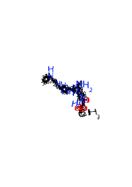 CCOC(=O)CNC(=O)N1CCN(c2cc(N)nc(NCc3ccc(CNCCCNC4CCCCC4)cc3)n2)CC1